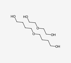 OCCCCOCCCCO.OCCOCCO